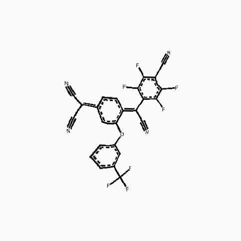 N#CC(C#N)=c1cc/c(=C(/C#N)c2c(F)c(F)c(C#N)c(F)c2F)c(Oc2cccc(C(F)(F)F)c2)c1